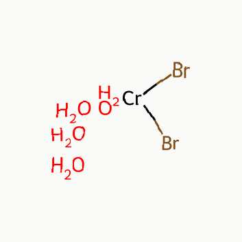 O.O.O.O.[Br][Cr][Br]